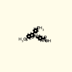 CSc1ccc(C=C(C(=O)NCc2ccc(C(=O)NO)cc2)c2ccc(C)cc2)cc1